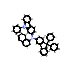 C1=Cc2cccc(N(c3ccc4c(c3)-c3ccccc3C4(c3ccccc3)c3ccccc3)c3ccc4c5ccccc5n(-c5ccccc5)c4c3)c2CC1